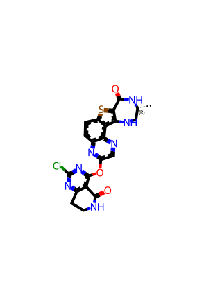 C[C@@H]1CNc2c(sc3ccc4nc(Oc5nc(Cl)nc6c5C(=O)NCC6)cnc4c23)C(=O)N1